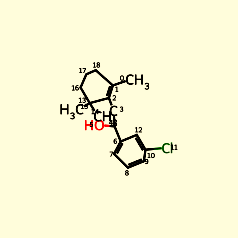 CC1=C(CC(O)c2cccc(Cl)c2)C(C)(C)CCC1